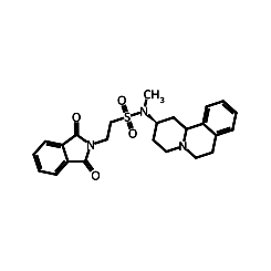 CN([C@@H]1CCN2CCc3ccccc3C2C1)S(=O)(=O)CCN1C(=O)c2ccccc2C1=O